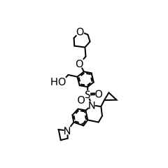 O=S(=O)(c1ccc(OCC2CCOCC2)c(CO)c1)N1c2ccc(N3CCC3)cc2CCC1C1CC1